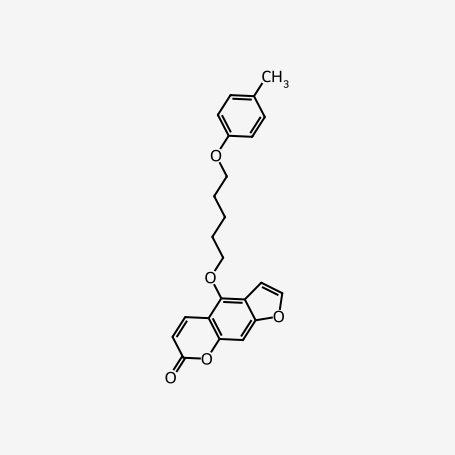 Cc1ccc(OCCCCCOc2c3ccoc3cc3oc(=O)ccc23)cc1